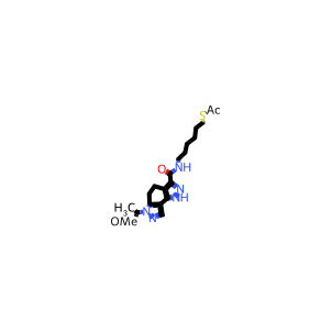 COC(C)n1ncc2c1CCc1c(C(=O)NCCCCCCSC(C)=O)n[nH]c1-2